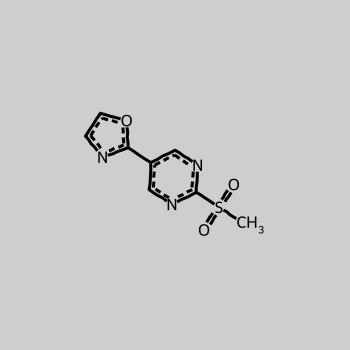 CS(=O)(=O)c1ncc(-c2ncco2)cn1